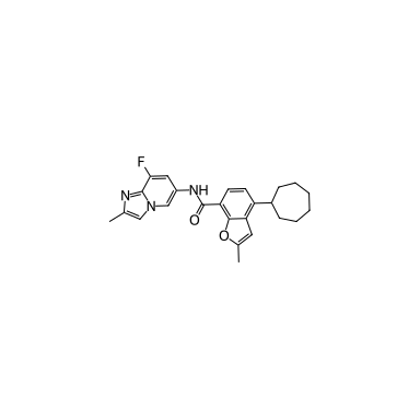 Cc1cn2cc(NC(=O)c3ccc(C4CCCCCC4)c4cc(C)oc34)cc(F)c2n1